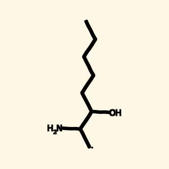 [CH2]C(N)C(O)CCCCC